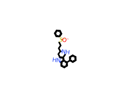 [O-][S+](CCCC1Cc2[nH]c3cccc(-c4ccccc4)c3c2CN1)c1ccccc1